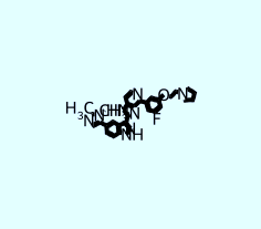 Cc1ncc(-c2ccc3[nH]nc(-c4nc5c(-c6cc(F)cc(OCCN7CCCC7)c6)nccc5[nH]4)c3c2)n1C